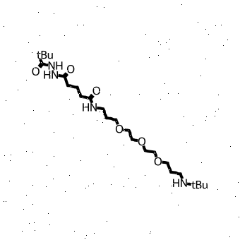 CC(C)(C)NCCCOCCOCCOCCCNC(=O)CCCC(=O)NNC(=O)C(C)(C)C